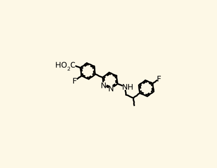 CC(CNc1ccc(-c2ccc(C(=O)O)c(F)c2)nn1)c1ccc(F)cc1